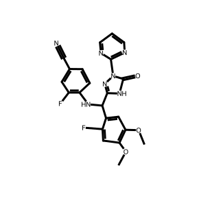 COc1cc(F)c(C(Nc2ccc(C#N)cc2F)c2nn(-c3ncccn3)c(=O)[nH]2)cc1OC